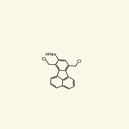 CCCCCCc1cc(CCl)c2c(c1CCl)-c1cccc3cccc-2c13